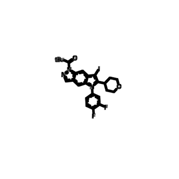 CC(C)(C)C(=O)n1ncc2cc3c(cc21)c(I)c(C1CCOCC1)n3-c1ccc(F)c(F)c1